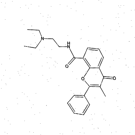 CCN(CC)CCNC(=O)c1cccc2c(=O)c(C)c(-c3ccccc3)oc12